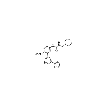 COc1ccc(OC(=O)NCC2CCCCC2)cc1-c1cncc(-c2ccco2)c1